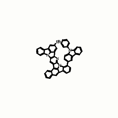 CC(C)(C)c1cc2c3ccccc3n3c4cc5c6c7ccccc7cc7c8cccc(-c9ccc%10c(c9)c9ccccc9n%10-c9ccccc9)c8n(c5nc4c(c1)c23)c76